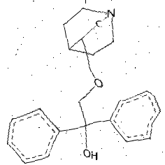 OC(COC1CN2CCC1CC2)(c1ccccc1)c1ccccc1